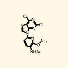 CC(=O)Nc1ccc(-n2cnc3c(Cl)nc(Cl)nc32)nc1OC(F)(F)F